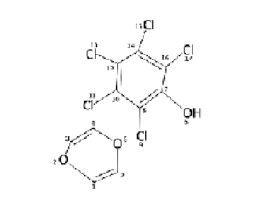 C1=COC=CO1.Oc1c(Cl)c(Cl)c(Cl)c(Cl)c1Cl